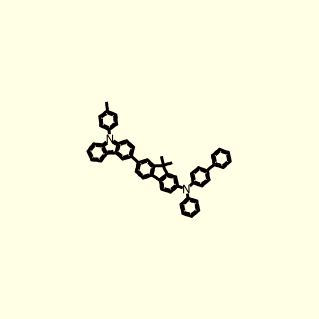 Cc1ccc(-n2c3ccccc3c3cc(-c4ccc5c(c4)C(C)(C)c4cc(N(c6ccccc6)c6ccc(-c7ccccc7)cc6)ccc4-5)ccc32)cc1